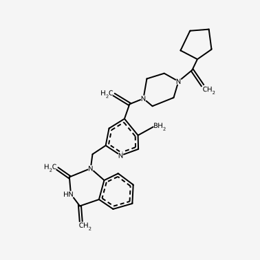 Bc1cnc(CN2C(=C)NC(=C)c3ccccc32)cc1C(=C)N1CCN(C(=C)C2CCCC2)CC1